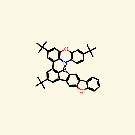 CC(C)(C)c1ccc2c(c1)Oc1cc(C(C)(C)C)cc3c1N2B1c2cc4c(cc2-c2cc(C(C)(C)C)cc-3c21)oc1ccccc14